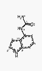 NC(=O)Nc1cccc2[nH]ncc12